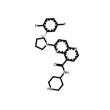 O=C(NC1CCNCC1)c1ccnc2ccc(N3CCC[C@@H]3c3cc(F)ccc3F)nc12